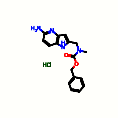 CN(Cc1cc2nc(N)ccc2[nH]1)C(=O)OCc1ccccc1.Cl